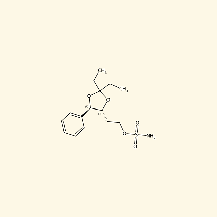 CCC1(CC)O[C@H](c2ccccc2)[C@@H](CCOS(N)(=O)=O)O1